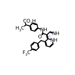 CC(C(=O)O)c1ccc(NC(=O)/C(C=N)=C2/NC=CC=C2Cc2ccc(C(F)(F)F)cc2)cc1